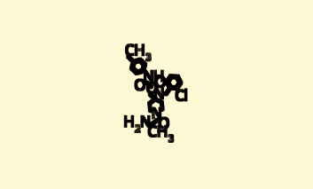 CCc1ccc(NC(=O)OCC2(N(C=O)Cc3ccccc3Cl)CCN(C(=O)[C@@H](C)N)CC2)cc1